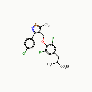 CCOC(=O)C(C)Cc1cc(F)c(OCc2c(-c3ccc(Cl)cc3)nsc2C(F)(F)F)c(F)c1